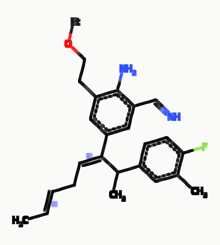 C/C=C/C/C=C(/c1cc(C=N)c(N)c(CCOCC)c1)C(C)c1ccc(F)c(C)c1